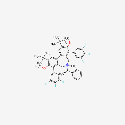 COc1c(C(C)(C)C)cc2c(c1-c1cc(F)c(F)c(F)c1)C[N+](C)([C@H](C)c1ccccc1)Cc1c-2cc(C(C)(C)C)c(OC)c1-c1cc(F)c(F)c(F)c1